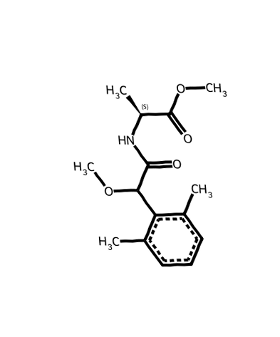 COC(=O)[C@H](C)NC(=O)C(OC)c1c(C)cccc1C